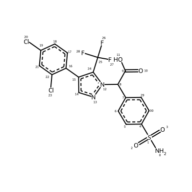 NS(=O)(=O)c1ccc(C(C(=O)O)n2ncc(-c3ccc(Cl)cc3Cl)c2C(F)(F)F)cc1